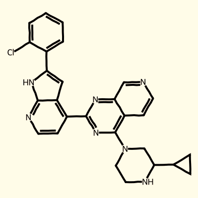 Clc1ccccc1-c1cc2c(-c3nc(N4CCNC(C5CC5)C4)c4ccncc4n3)ccnc2[nH]1